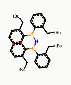 CC(C)(C)Cc1ccccc1P([N]P(c1ccccc1CC(C)(C)C)c1ccccc1CC(C)(C)C)c1ccccc1CC(C)(C)C